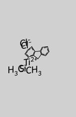 C[Si](C)=[Ti+2][c]1cccc2c1Cc1ccccc1-2.[Cl-].[Cl-]